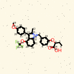 CCC(Oc1cccc(Cn2c(C)c(-c3ccc(OC)cc3)c3c(OC(F)(F)F)cccc32)c1)C(=O)O